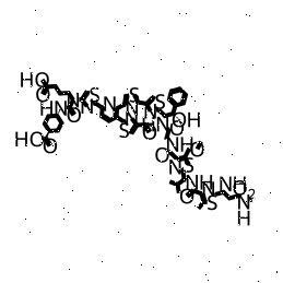 CNC(=O)C[C@H](N)c1nc(C(=O)NC(c2nc(C(=O)NCC(=O)N[C@H](c3nc(-c4nc(-c5nc(-c6nc(N(CCCC(=O)O)C(=O)N[C@H]7CC[C@H](C(=O)O)CC7)cs6)ccc5-c5nc(C=O)cs5)cs4)cs3)[C@@H](O)c3ccccc3)c(COC)s2)C(C)C)c(C)s1